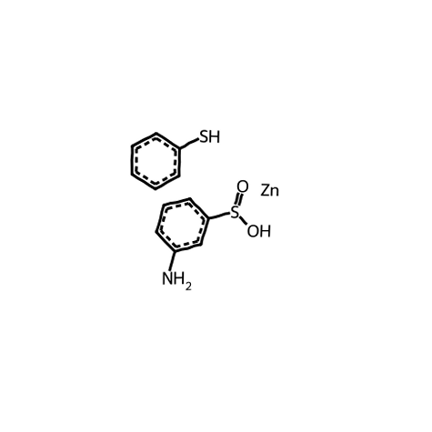 Nc1cccc(S(=O)O)c1.Sc1ccccc1.[Zn]